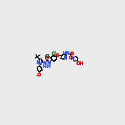 COc1ccc(-n2nc(C(C)(C)C)cc2NC(=O)Nc2ccc(Oc3ccnc(NC(=O)ON4CCC(O)C4)c3)c(Cl)c2Cl)cc1